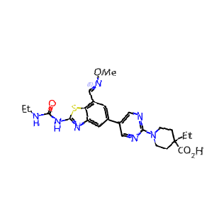 CCNC(=O)Nc1nc2cc(-c3cnc(N4CCC(CC)(C(=O)O)CC4)nc3)cc(/C=N/OC)c2s1